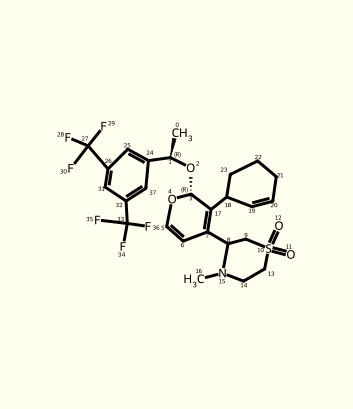 C[C@@H](O[C@H]1OC=CC(C2CS(=O)(=O)CCN2C)=C1C1C=CCCC1)c1cc(C(F)(F)F)cc(C(F)(F)F)c1